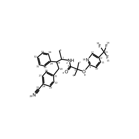 CC(NC(=O)C(C)(C)Oc1ccc(C(F)(F)F)cn1)C(Cc1ccc(C#N)cc1)c1ccccc1